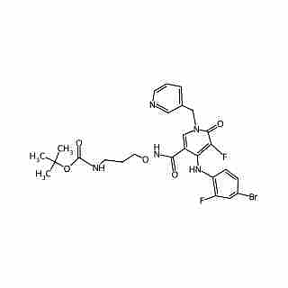 CC(C)(C)OC(=O)NCCCONC(=O)c1cn(Cc2cccnc2)c(=O)c(F)c1Nc1ccc(Br)cc1F